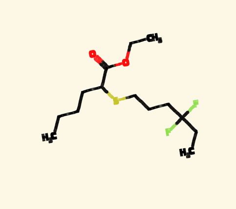 CCCCC(SCCCC(F)(F)CC)C(=O)OCC